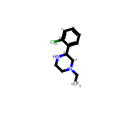 FC(F)(F)CN1CCNC(c2ccccc2Cl)C1